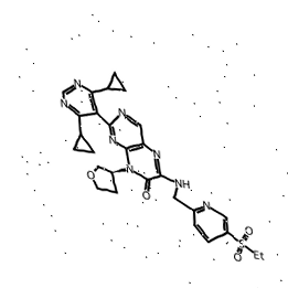 CCS(=O)(=O)c1ccc(CNc2nc3cnc(-c4c(C5CC5)ncnc4C4CC4)nc3n([C@H]3CCOC3)c2=O)nc1